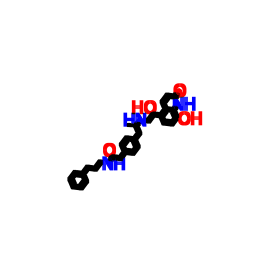 C[C@H](Cc1ccc(CC(=O)NCCCc2ccccc2)cc1)NC[C@H](O)c1ccc(O)c2[nH]c(=O)ccc12